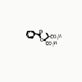 CC(C(=O)O)[C@@H](OC(=O)c1ccccc1)C(=O)O